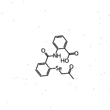 CC(=O)C[Se]c1ccccc1C(=O)Nc1ccccc1C(=O)O